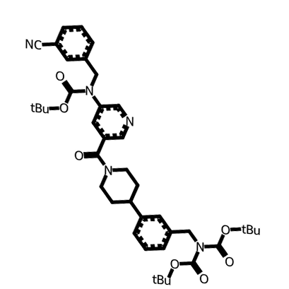 CC(C)(C)OC(=O)N(Cc1cccc(C2CCN(C(=O)c3cncc(N(Cc4cccc(C#N)c4)C(=O)OC(C)(C)C)c3)CC2)c1)C(=O)OC(C)(C)C